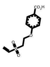 C=CS(=O)(=O)CCOc1ccc(C(=O)O)cc1